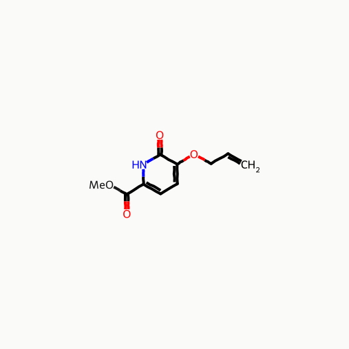 C=CCOc1ccc(C(=O)OC)[nH]c1=O